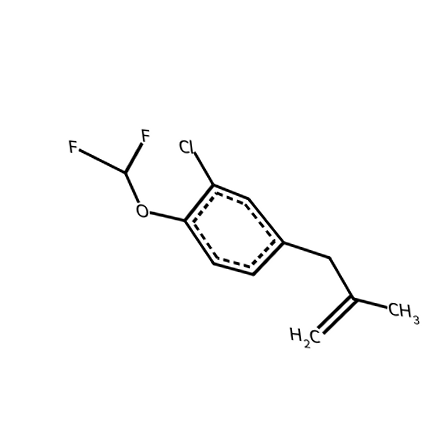 C=C(C)Cc1ccc(OC(F)F)c(Cl)c1